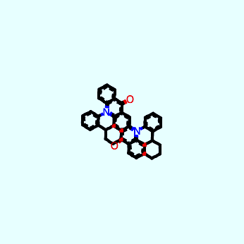 O=c1c2ccccc2n(-c2ccccc2C2CCCCC2)c2cc3c(=O)c4ccccc4n(-c4ccccc4C4CCCCC4)c3cc12